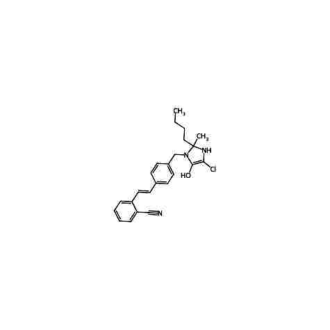 CCCCC1(C)NC(Cl)=C(O)N1Cc1ccc(C=Cc2ccccc2C#N)cc1